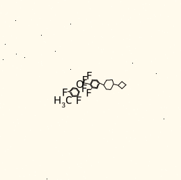 Cc1c(F)cc(OC(F)(F)c2c(F)cc(C3CCC(C4CCC4)CC3)cc2F)cc1F